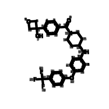 O=C(c1ccc(C2(O)COC2)cc1)N1CCC(Nc2ccc(Oc3ccc(C(F)(F)F)cc3)cc2)CC1